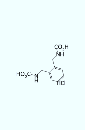 Cl.O=C(O)NCc1ccccc1CNC(=O)O